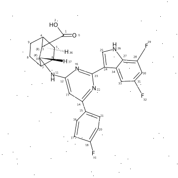 O=C(O)[C@@H]1C2CCC(CC2)[C@H]1Nc1cc(-c2ccc(F)cc2)nc(-c2c[nH]c3c(F)cc(F)cc23)n1